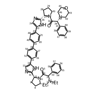 CCN(CC)C(C(=O)N1CCC[C@H]1c1ncc(-c2ccc(-c3ccc(-c4cnc([C@@H]5CCCN5C(=O)[C@@H](c5ccccc5)N5CCOCC5)[nH]4)cc3)cc2)[nH]1)c1ccccc1